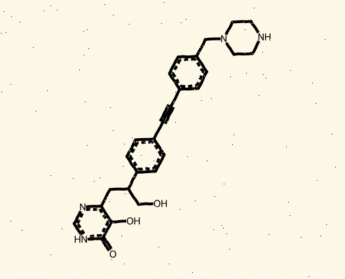 O=c1[nH]cnc(CC(CO)c2ccc(C#Cc3ccc(CN4CCNCC4)cc3)cc2)c1O